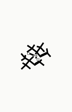 CC(C)=C[C](C(C)(C)C)(C(C)(C)C)[Pd]([Cl])([Cl])[C](C=C(C)C)(C(C)(C)C)C(C)(C)C